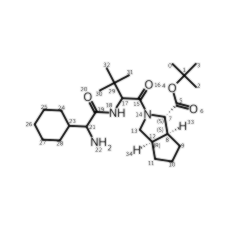 CC(C)(C)OC(=O)[C@@H]1[C@H]2CCC[C@H]2CN1C(=O)C(NC(=O)C(N)C1CCCCC1)C(C)(C)C